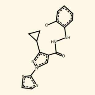 O=C(NNc1ccccc1Cl)c1cn(-c2nccs2)nc1C1CC1